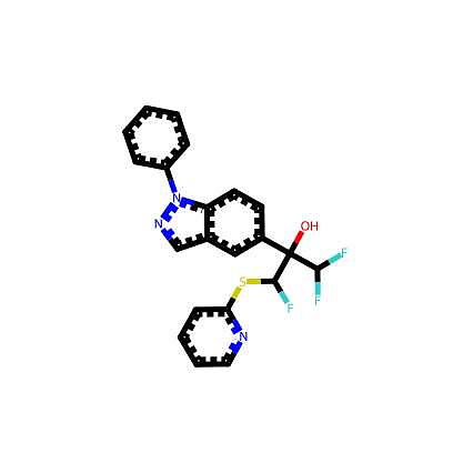 OC(c1ccc2c(cnn2-c2ccccc2)c1)(C(F)F)C(F)Sc1ccccn1